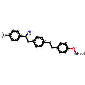 CCCCCCCOc1ccc(CCc2ccc(CC([NH])c3ccc(C(F)(F)F)cc3)cc2)cc1